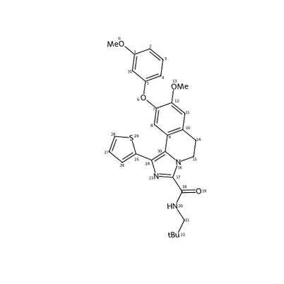 COc1cccc(Oc2cc3c(cc2OC)CCn2c(C(=O)NCC(C)(C)C)nc(-c4cccs4)c2-3)c1